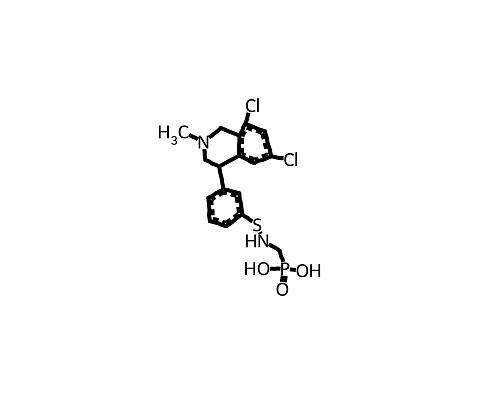 CN1Cc2c(Cl)cc(Cl)cc2C(c2cccc(SNCP(=O)(O)O)c2)C1